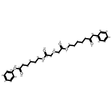 O=C(CCCCCOC(=O)COCC(=O)OCCCCCC(=O)Oc1ccccc1)Cc1ccccc1